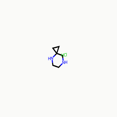 C1CNC2(CC2)CN1.Cl